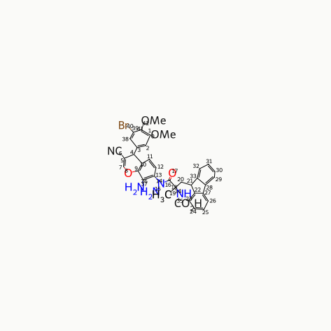 COc1cc(C2C(C#N)=COc3c2ccc(N(N)C(=O)C(C)(CC2c4ccccc4-c4ccccc42)NC(=O)O)c3N)cc(Br)c1OC